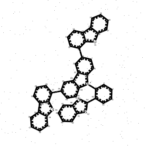 c1ccc(-n2c3ccc(-c4cccc5c4oc4ccccc45)cc3c3cc(-c4cccc5c4sc4ccccc45)ccc32)c(-c2nc3ccccc3s2)c1